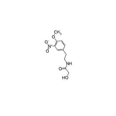 COc1ccc(CCNC(=O)CO)cc1[N+](=O)[O-]